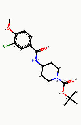 COc1ccc(C(=O)NC2CCN(C(=O)OC(C)(C)C)CC2)cc1Br